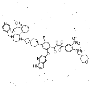 CC(C)c1ccccc1C1CN(Cc2ccncc2)CCN1C1CC2(CCN(c3cc(Oc4cnc5[nH]ccc5c4)c(C(=O)NS(=O)(=O)c4ccc(NCC5(F)CCOCC5)c([N+](=O)[O-])c4)cc3F)CC2)C1